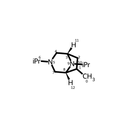 CC1C[C@H]2CN(C(C)C)C[C@@H]1N2C(C)C